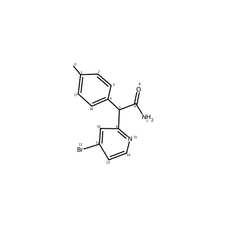 Cc1ccc(C(C(N)=O)c2cc(Br)ccn2)cc1